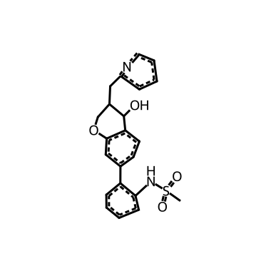 CS(=O)(=O)Nc1ccccc1-c1ccc2c(c1)OCC(Cc1ccccn1)C2O